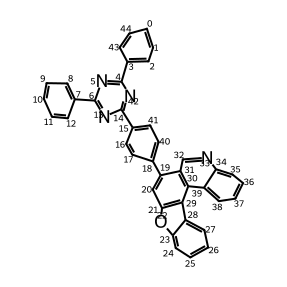 c1ccc(-c2nc(-c3ccccc3)nc(-c3ccc(-c4cc5oc6ccccc6c5c5c4cnc4ccccc45)cc3)n2)cc1